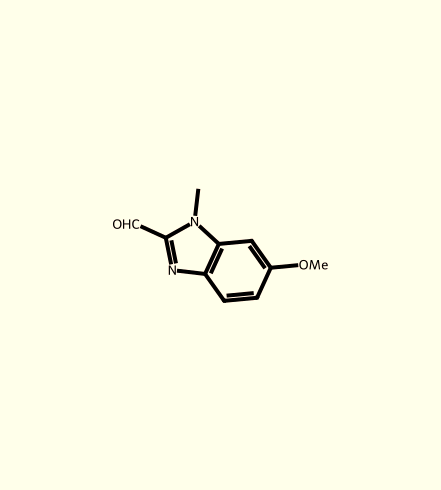 COc1ccc2nc(C=O)n(C)c2c1